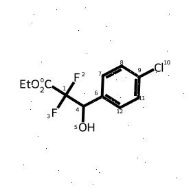 CCOC(=O)C(F)(F)C(O)c1ccc(Cl)cc1